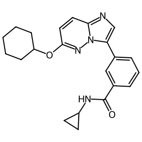 O=C(NC1CC1)c1cccc(-c2cnc3ccc(OC4CCCCC4)nn23)c1